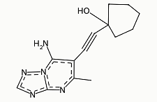 Cc1nc2ncnn2c(N)c1C#CC1(O)CCCCC1